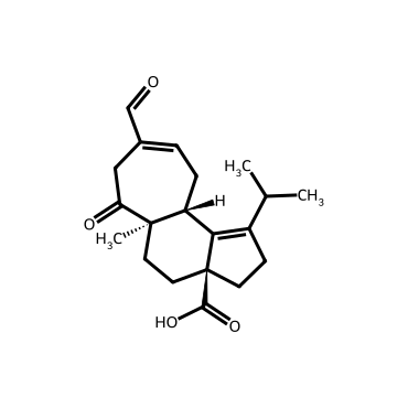 CC(C)C1=C2[C@H]3CC=C(C=O)CC(=O)[C@]3(C)CC[C@@]2(C(=O)O)CC1